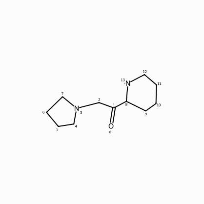 O=C(CN1CCCC1)C1CCCC[N]1